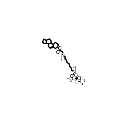 CC(C)(C)OC(=O)NCCCCCCCCNCC(=O)OC1CCC2C(=CCC3C4CCCC4CCC23)C1